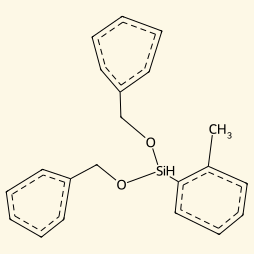 Cc1ccccc1[SiH](OCc1ccccc1)OCc1ccccc1